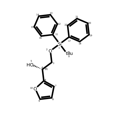 CC(C)(C)[Si](OC[C@@H](O)c1ccco1)(c1ccccc1)c1ccccc1